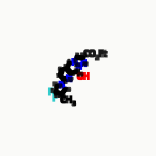 CCOC(=O)c1cn(Cc2ccc(N3CC(C)C(F)(F)C3)nc2CO)nn1